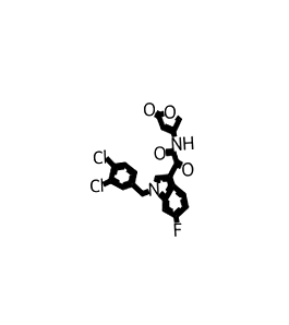 O=C1C=C(NC(=O)C(=O)c2cn(Cc3ccc(Cl)c(Cl)c3)c3cc(F)ccc23)CO1